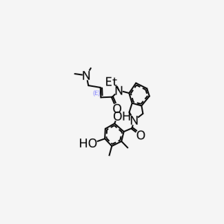 CCN(C(=O)/C=C/CN(C)C)c1cccc2c1CN(C(=O)c1c(O)cc(O)c(C)c1C)C2